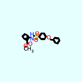 COC(=O)C1C2C=CC(C2)C1NCS(=O)(=O)c1ccc(OCc2ccccc2)cc1